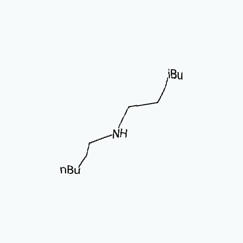 CCCCCNCCC(C)CC